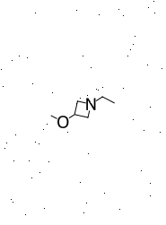 CCN1CC(OC)C1